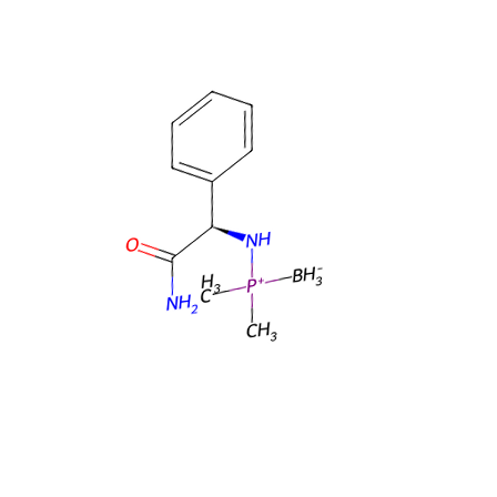 [BH3-][P+](C)(C)N[C@@H](C(N)=O)c1ccccc1